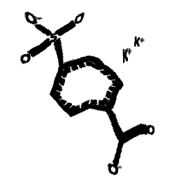 O=C([O-])c1ccc(S(=O)(=O)[O-])cc1.[K+].[K+]